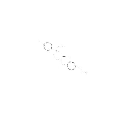 CC(=O)CC1(c2ccc(F)cc2)CCN([C@@H](C)c2ccc(OC(F)F)cc2)C(=O)O1